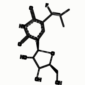 CC(C)=C(F)c1cn([C@H]2O[C@@H](CO)C(O)C2O)c(=O)[nH]c1=O